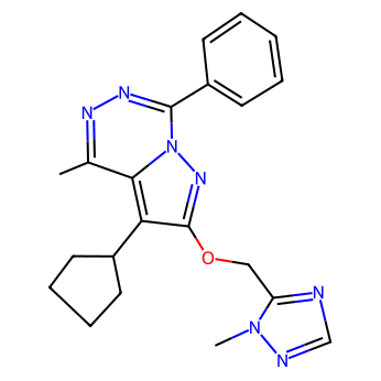 Cc1nnc(-c2ccccc2)n2nc(OCc3ncnn3C)c(C3CCCC3)c12